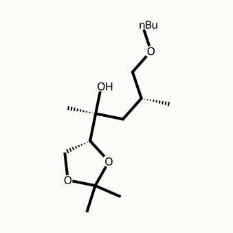 CCCCOC[C@H](C)C[C@](C)(O)[C@H]1COC(C)(C)O1